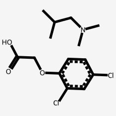 CC(C)CN(C)C.O=C(O)COc1ccc(Cl)cc1Cl